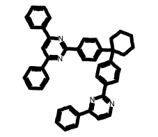 c1ccc(-c2ccnc(-c3ccc(C4(c5ccc(-c6nc(-c7ccccc7)cc(-c7ccccc7)n6)cc5)CCCCC4)cc3)n2)cc1